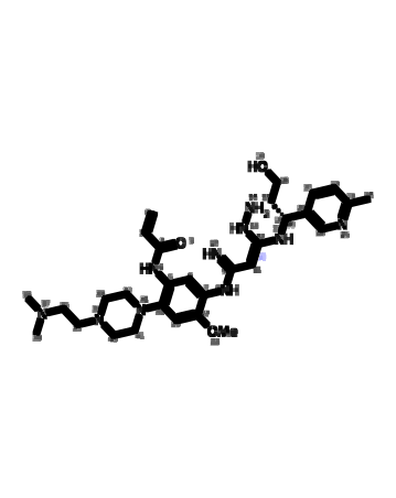 C=CC(=O)Nc1cc(NC(=N)/C=C(\NN)N[C@H](CCO)c2ccc(C)nc2)c(OC)cc1N1CCN(CCN(C)C)CC1